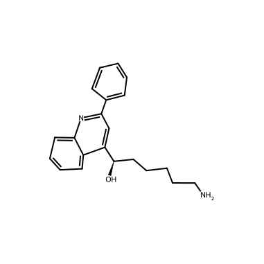 NCCCCC[C@@H](O)c1cc(-c2ccccc2)nc2ccccc12